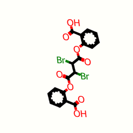 O=C(O)c1ccccc1OC(=O)C(Br)C(Br)C(=O)Oc1ccccc1C(=O)O